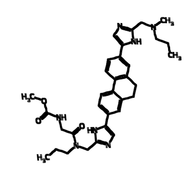 CCCN(C)Cc1ncc(-c2ccc3c(c2)CCc2cc(-c4cnc(CN(CCC)C(=O)CNC(=O)OC)[nH]4)ccc2-3)[nH]1